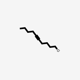 CCCCC#CCCCC[O]